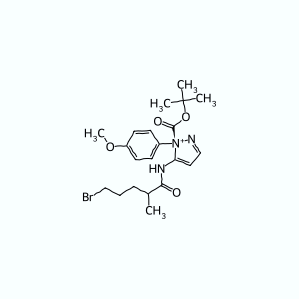 COc1ccc([N@+]2(C(=O)OC(C)(C)C)N=CC=C2NC(=O)C(C)CCCBr)cc1